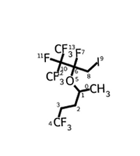 CC(CCC(F)(F)F)OC(F)(CI)C(F)(C(F)(F)F)C(F)(F)F